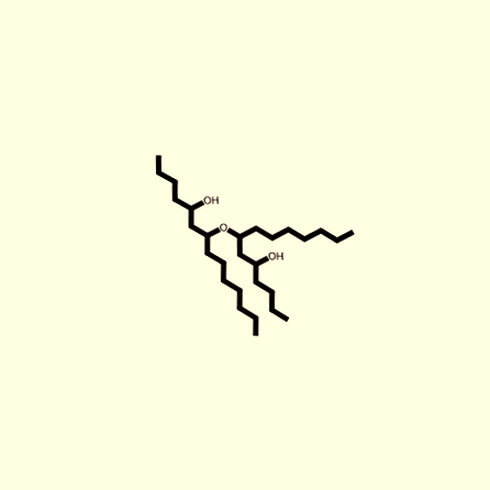 CCCCCCCC(CC(O)CCCC)OC(CCCCCCC)CC(O)CCCC